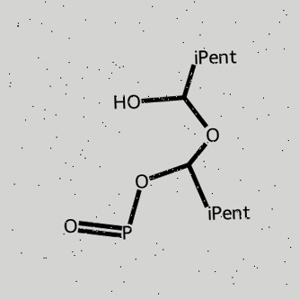 CCCC(C)C(O)OC(OP=O)C(C)CCC